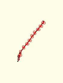 C=C(C)C(=O)OCCCCC(=O)OCCCCC(=O)OCCCCCC(=O)OCCCCC(=O)OCCCCCC(=O)OCCCCC(=O)OCCCCCC(=O)OCCCCCCOc1ccc(C(=O)Oc2ccc([C@H]3CC[C@H](CCC)CC3)cc2)cc1